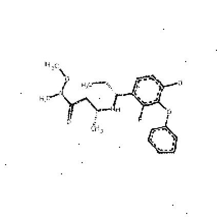 CC[C@@H](N[C@H](C)CC(=O)N(C)OC)c1ccc(Cl)c(Oc2ccccc2)c1F